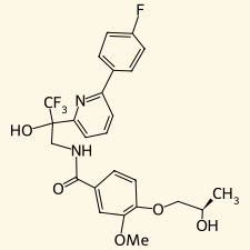 COc1cc(C(=O)NCC(O)(c2cccc(-c3ccc(F)cc3)n2)C(F)(F)F)ccc1OC[C@@H](C)O